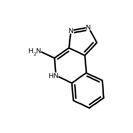 Nc1[nH]c2ccccc2c2cnnc1-2